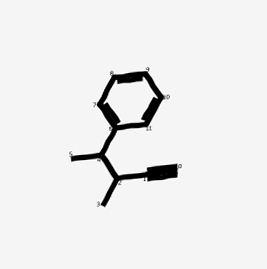 C#CC(C)C(C)c1ccccc1